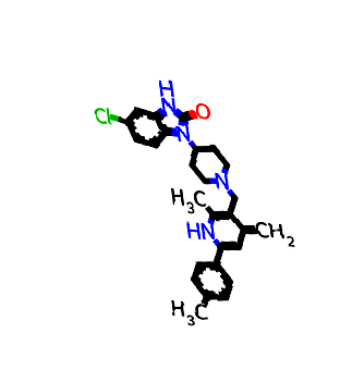 C=C1C=C(c2ccc(C)cc2)NC(C)=C1CN1CCC(n2c(=O)[nH]c3cc(Cl)ccc32)CC1